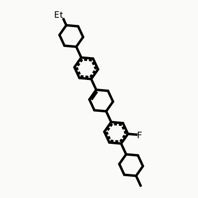 CCC1CCC(c2ccc(C3=CCC(c4ccc(C5CCC(C)CC5)c(F)c4)CC3)cc2)CC1